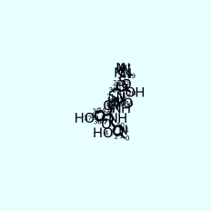 Cc1cc(O)c(C(=O)NC(C(=O)NC2C(=O)N3C(C(=O)O)=C(CSc4nnnn4C)CS[C@@H]23)c2ccc(O)cc2)cn1